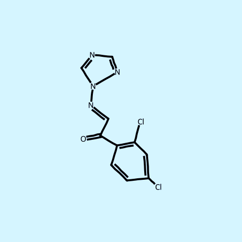 O=C(C=Nn1cncn1)c1ccc(Cl)cc1Cl